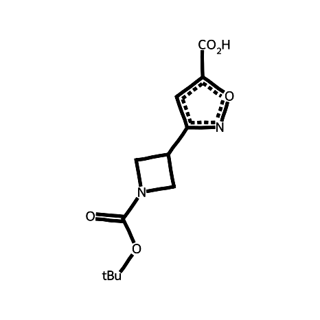 CC(C)(C)OC(=O)N1CC(c2cc(C(=O)O)on2)C1